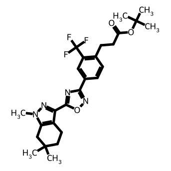 Cn1nc(-c2nc(-c3ccc(CCC(=O)OC(C)(C)C)c(C(F)(F)F)c3)no2)c2c1CC(C)(C)CC2